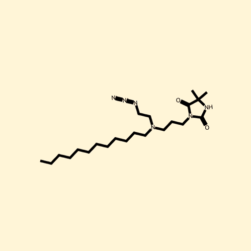 CCCCCCCCCCCCN(CCCN1C(=O)NC(C)(C)C1=O)CCN=[N+]=[N-]